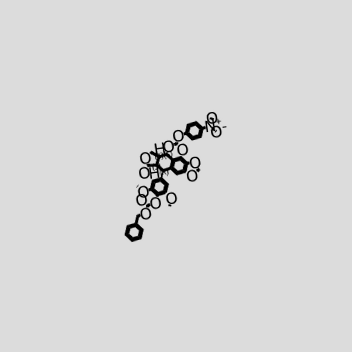 COc1cc([C@@H]2c3cc4c(cc3[C@@H](OC(=O)Oc3ccc([N+](=O)[O-])cc3)[C@@H]3COC(=O)[C@@H]23)OCO4)cc(OC)c1OC(=O)OCc1ccccc1